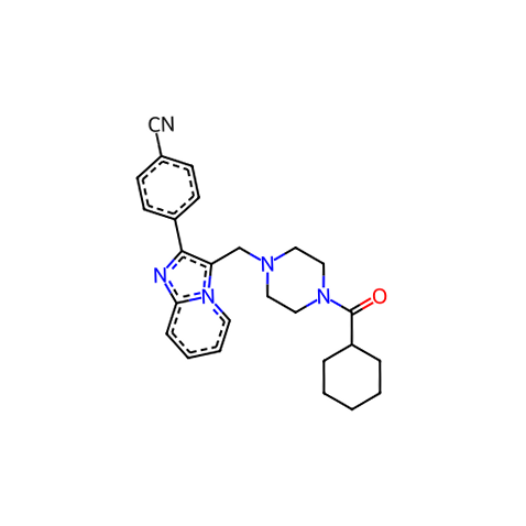 N#Cc1ccc(-c2nc3ccccn3c2CN2CCN(C(=O)C3CCCCC3)CC2)cc1